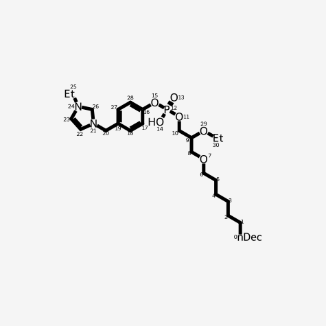 CCCCCCCCCCCCCCCCOCC(COP(=O)(O)Oc1ccc(CN2C=CN(CC)C2)cc1)OCC